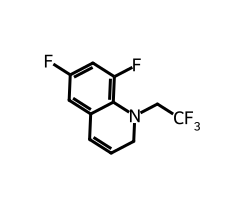 Fc1cc(F)c2c(c1)C=CCN2CC(F)(F)F